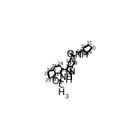 CC(=O)Nc1c(-c2[nH]nc3c2CN(C(=O)NCc2ccccc2)C3)ccc2ccccc12